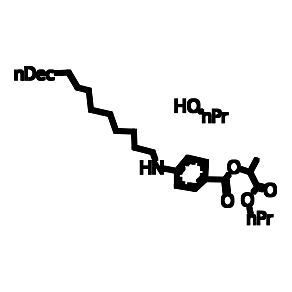 CCCCCCCCCCCCCCCCCCCNc1ccc(C(=O)OC(C)C(=O)OCCC)cc1.CCCO